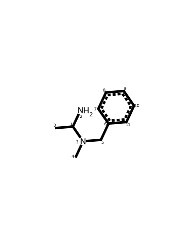 CC(N)N(C)Cc1ccccc1